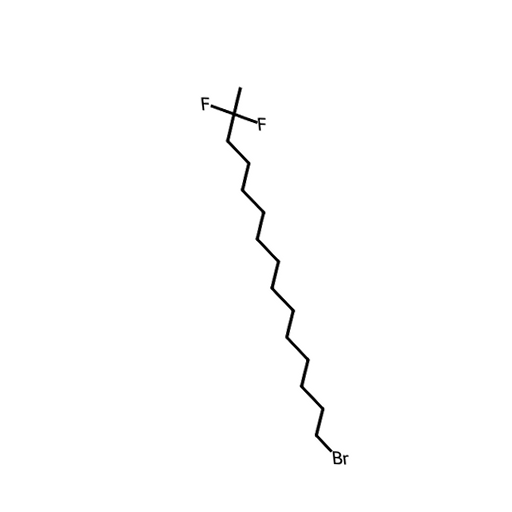 CC(F)(F)CCCCCCCCCCCCCBr